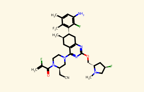 C=C(F)C(=O)N1CCN(c2nc(OC[C@@H]3C[C@@H](F)CN3C)nc3c2C[C@@H](C)[C@H](c2c(F)c(N)cc(C)c2C(F)(F)F)C3)C[C@H]1CC#N